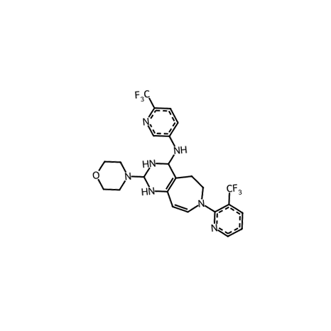 FC(F)(F)c1ccc(NC2NC(N3CCOCC3)NC3=C2CCN(c2ncccc2C(F)(F)F)C=C3)cn1